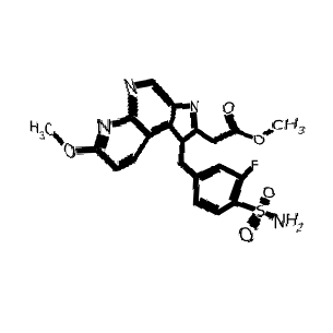 COC(=O)CC1=Nc2cnc3nc(OC)ccc3c2C1Cc1ccc(S(N)(=O)=O)c(F)c1